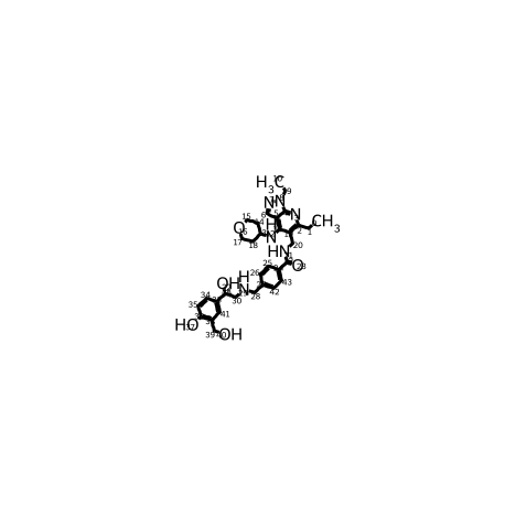 CCc1nc2c(cnn2CC)c(NC2CCOCC2)c1CNC(=O)c1ccc(CNC[C@H](O)c2ccc(O)c(CO)c2)cc1